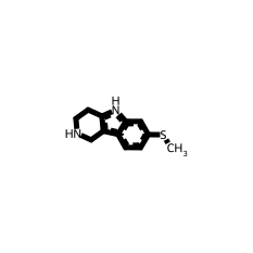 CSc1ccc2c3c([nH]c2c1)CCNC3